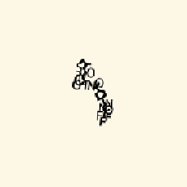 Cc1ccsc1C(=O)N1CCOC[C@@H]1CNC(=O)c1ccc(-c2noc(C(F)(F)F)n2)cc1